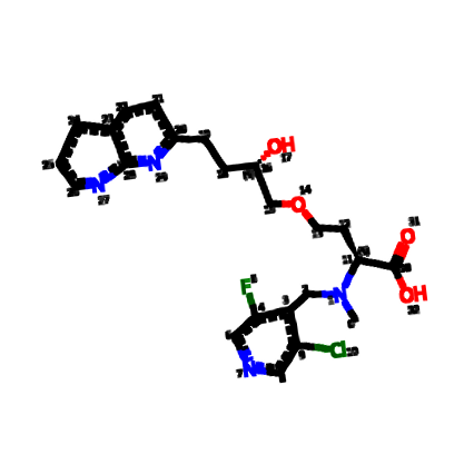 CN(Cc1c(F)cncc1Cl)[C@@H](CCOC[C@@H](O)CCc1ccc2cccnc2n1)C(=O)O